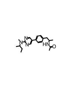 CCC(C)N(C)c1ncc(-c2ccc(CC(C)NC(C)=O)cc2)cn1